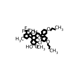 CCCCOc1ccc(C2(c3ccc(OCCCC)cc3)C=Cc3c4c(c5cc(O)c(OC)c(Cl)c5c3O2)-c2cc(C)cc(C(F)(F)F)c2C4(C)C)cc1